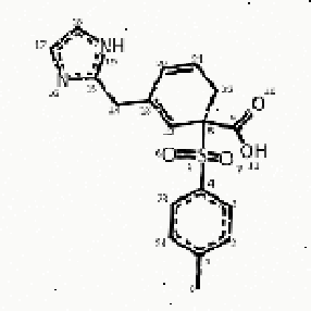 Cc1ccc(S(=O)(=O)C2(C(=O)O)C=C(Cc3ncc[nH]3)C=CC2)cc1